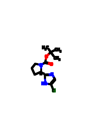 CC(C)(C)OC(=O)N1CCC[C@H]1c1ncc(Cl)[nH]1